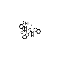 CC(N)c1cccc(C(=O)N[C@H]2c3ccccc3C[C@H]2C(=O)N[C@@H]2CCc3ccccc32)c1